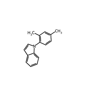 Cc1ccc(-n2ccc3ccccc32)c(C)c1